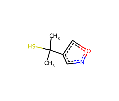 CC(C)(S)c1cnoc1